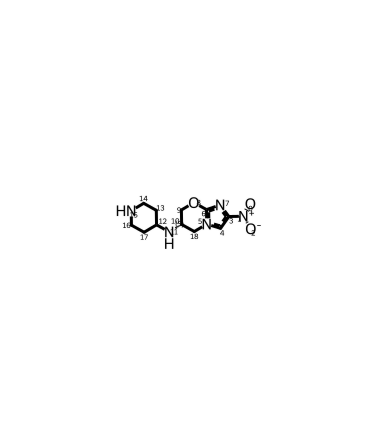 O=[N+]([O-])c1cn2c(n1)OC[C@@H](NC1CCNCC1)C2